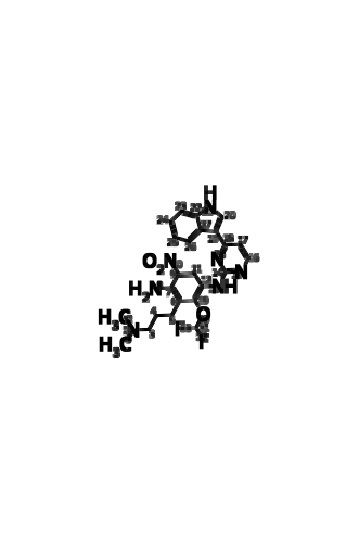 CN(C)CCCc1c(N)c([N+](=O)[O-])cc(Nc2nccc(-c3c[nH]c4ccccc34)n2)c1OC(F)F